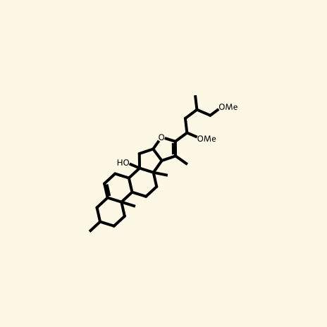 COCC(C)CC(OC)C1=C(C)C2C(CC3(O)C4CC=C5CC(C)CCC5(C)C4CCC23C)O1